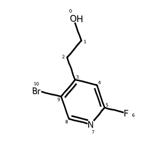 OCCc1cc(F)ncc1Br